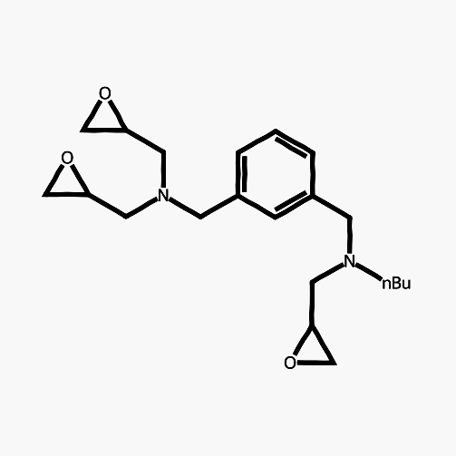 CCCCN(Cc1cccc(CN(CC2CO2)CC2CO2)c1)CC1CO1